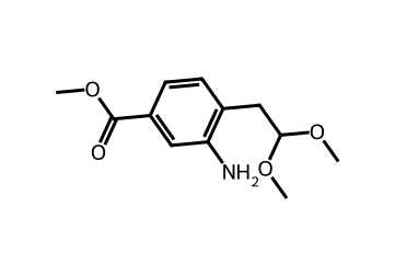 COC(=O)c1ccc(CC(OC)OC)c(N)c1